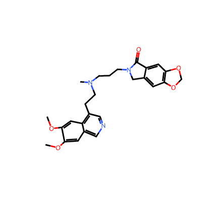 COc1cc2cncc(CCN(C)CCCN3Cc4cc5c(cc4C3=O)OCO5)c2cc1OC